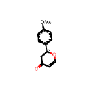 COc1ccc([C@@H]2CC(=O)C=CO2)cc1